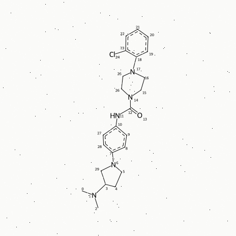 CN(C)C1CCN(c2ccc(NC(=O)N3CCN(c4ccccc4Cl)CC3)cc2)C1